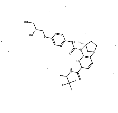 C[C@@H](NC(=O)C1C=CC2=C(N1)N(C(=O)Nc1ccc(OC[C@H](O)CO)cn1)[C@H]1CCN2C1)C(F)(F)F